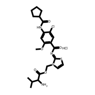 COc1cc(NC(=O)C2CCCC2)c(Cl)cc1C(=O)N=c1sccn1COC(=O)C(N)C(C)C.Cl